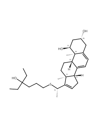 CCC(O)(CC)CCCS[C@@H](C)C1=CC[C@H]2C3=CC=C4C[C@@H](O)C[C@H](O)[C@]4(C)[C@H]3CC[C@]12C